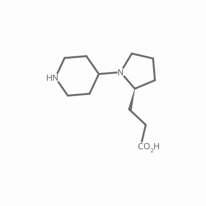 O=C(O)CC[C@@H]1CCCN1C1CCNCC1